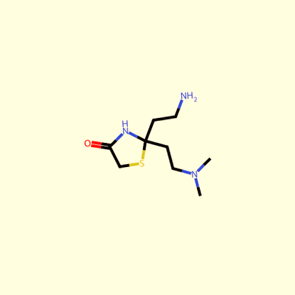 CN(C)CCC1(CCN)NC(=O)CS1